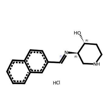 Cl.O[C@@H]1CCNC[C@H]1/N=C/c1ccc2ccccc2c1